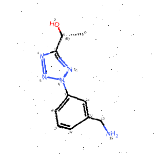 C[C@@H](O)c1nnn(-c2cccc(CN)c2)n1